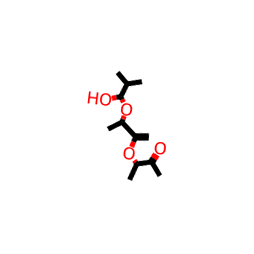 C=C(OC(C)C(C)=O)C(C)OC(O)C(C)C